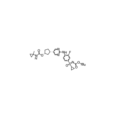 CC1(NC(=O)O[C@@H]2CC[C@H](c3cnc(Nc4ccc(S(=O)(=NC(=O)OC(C)(C)C)C5CC5)cc4F)nc3)C2)CC1